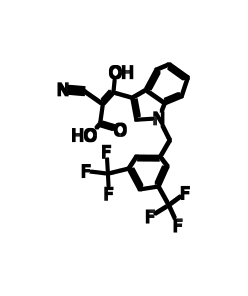 N#CC(C(=O)O)=C(O)c1cn(Cc2cc(C(F)(F)F)cc(C(F)(F)F)c2)c2ccccc12